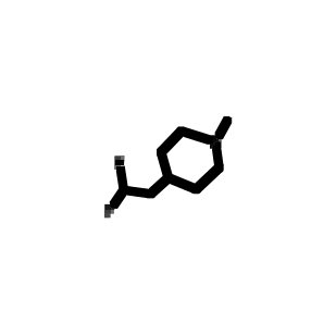 CN1CCC(CC(F)F)CC1